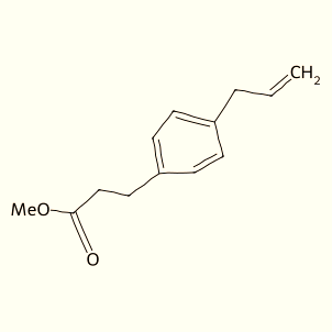 C=CCc1ccc(CCC(=O)OC)cc1